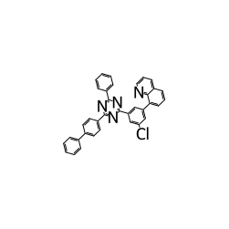 Clc1cc(-c2nc(-c3ccccc3)nc(-c3ccc(-c4ccccc4)cc3)n2)cc(-c2cccc3cccnc23)c1